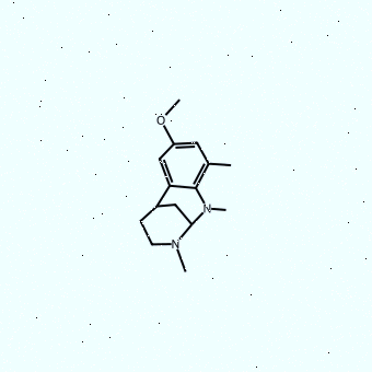 COc1cc(C)c2c(c1)C1CCN(C)C(C1)N2C